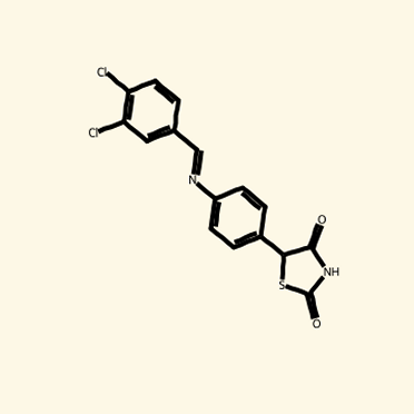 O=C1NC(=O)C(c2ccc(N=Cc3ccc(Cl)c(Cl)c3)cc2)S1